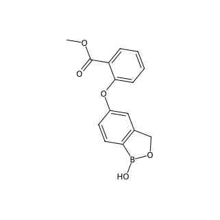 COC(=O)c1ccccc1Oc1ccc2c(c1)COB2O